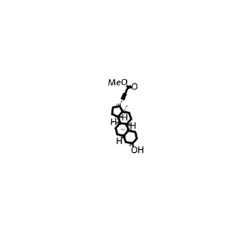 COC(=O)C#C[C@H]1CC[C@H]2[C@@H]3CC[C@H]4C[C@H](O)CC[C@]4(C)[C@H]3CC[C@]12C